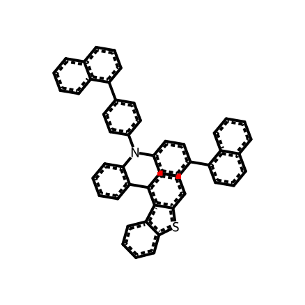 c1ccc(N(c2ccc(-c3cccc4ccccc34)cc2)c2ccc(-c3cccc4ccccc34)cc2)c(-c2cccc3sc4ccccc4c23)c1